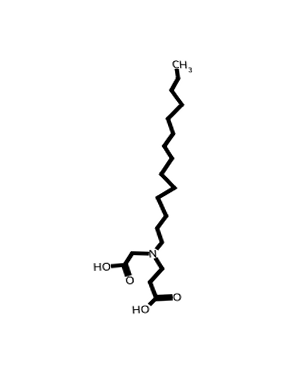 CCCCCCCCCCCCCCN(CCC(=O)O)CC(=O)O